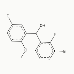 COc1ccc(F)cc1C(O)c1cccc(Br)c1F